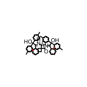 Cc1ccc(C(O)(c2ccc(C)cc2)[C@H](NC(=O)C2(C(=O)N[C@H](c3ccccc3)C(O)(c3ccc(C)cc3)c3ccc(C)cc3)CCC2)c2ccccc2)cc1